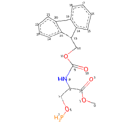 COC(=O)C(COP)NC(=O)OCC1c2ccccc2-c2ccccc21